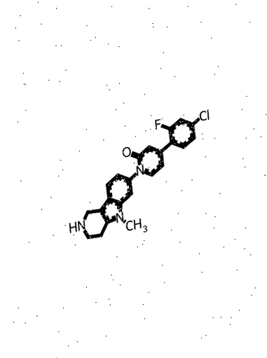 Cn1c2c(c3ccc(-n4ccc(-c5ccc(Cl)cc5F)cc4=O)cc31)CNCC2